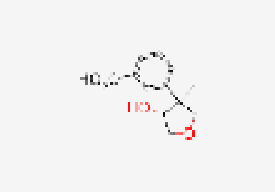 C[C@]1(c2cccc(C(=O)O)c2)COC[C@@H]1O